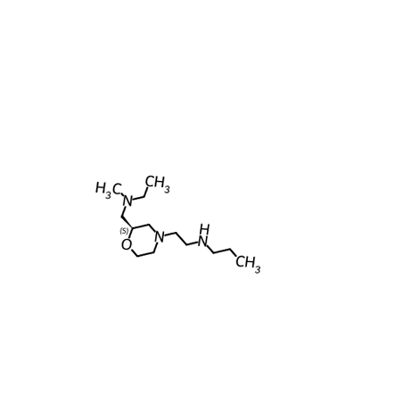 CCCNCCN1CCO[C@@H](CN(C)CC)C1